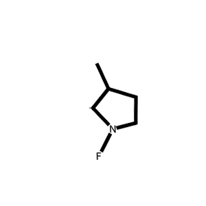 CC1[CH]N(F)CC1